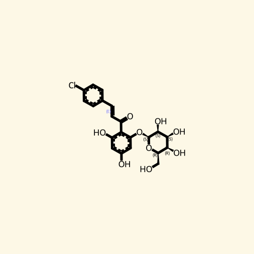 O=C(/C=C/c1ccc(Cl)cc1)c1c(O)cc(O)cc1O[C@@H]1O[C@H](CO)[C@H](O)[C@H](O)[C@@H]1O